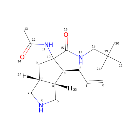 C=CC[C@H]1[C@@H]2CNC[C@@H]2CC1(NC(C)=O)C(=O)NCC(C)(C)C